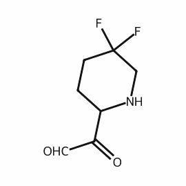 O=CC(=O)C1CCC(F)(F)CN1